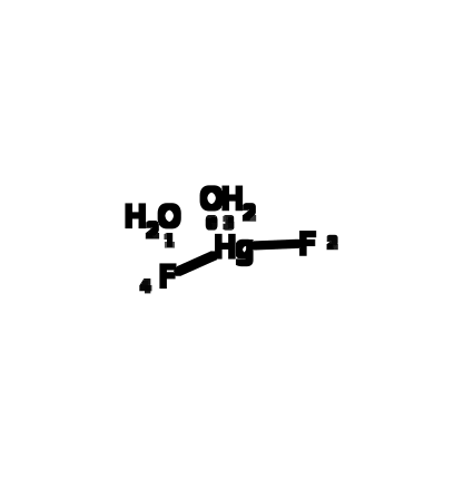 O.O.[F][Hg][F]